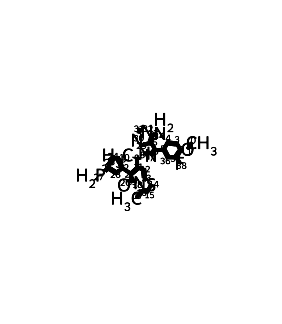 COc1ccc(-c2nn([C@@H](C)c3cc4scc(C)n4c(=O)c3-c3cccc(P)c3)c3ncnc(N)c23)cc1F